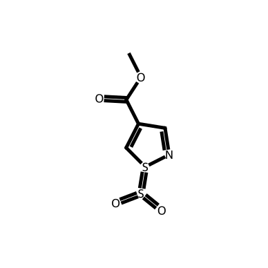 COC(=O)C1=CS(=S(=O)=O)N=C1